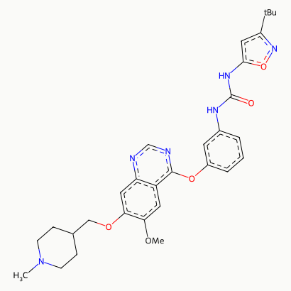 COc1cc2c(Oc3cccc(NC(=O)Nc4cc(C(C)(C)C)no4)c3)ncnc2cc1OCC1CCN(C)CC1